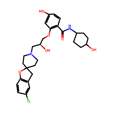 O=C(NC1CCC(O)CC1)c1ccc(O)cc1OC[C@@H](O)CN1CCC2(CC1)Cc1cc(Cl)ccc1O2